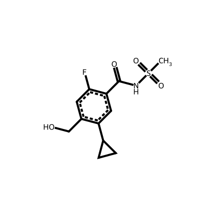 CS(=O)(=O)NC(=O)c1cc(C2CC2)c(CO)cc1F